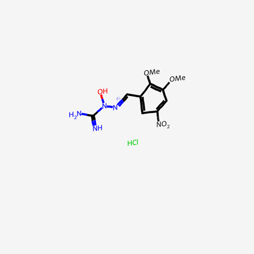 COc1cc([N+](=O)[O-])cc(/C=N/N(O)C(=N)N)c1OC.Cl